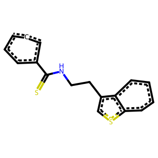 S=C(NCCc1csc2ccccc12)c1ccccc1